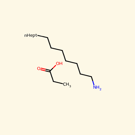 CCC(=O)O.CCCCCCCCCCCCCCN